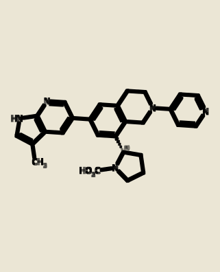 Cc1c[nH]c2ncc(-c3cc4c(c([C@@H]5CCCN5C(=O)O)c3)CN(c3ccncc3)CC4)cc12